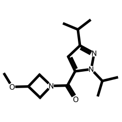 COC1CN(C(=O)c2cc(C(C)C)nn2C(C)C)C1